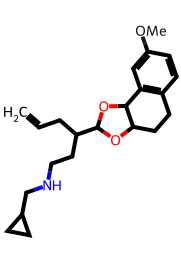 C=CCC(CCNCC1CC1)C1OC2CCc3ccc(OC)cc3C2O1